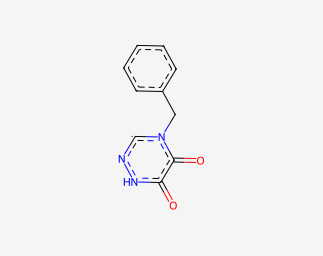 O=c1[nH]n[c]n(Cc2ccccc2)c1=O